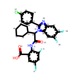 O=C(O)c1cc(F)cc(F)c1NC(=O)C(C1CCCCC1)n1c(-c2ccc(Cl)cc2)nc2cc(F)c(F)cc21